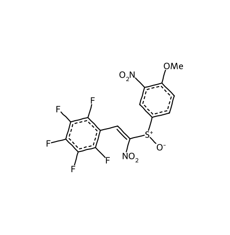 COc1ccc([S+]([O-])C(=Cc2c(F)c(F)c(F)c(F)c2F)[N+](=O)[O-])cc1[N+](=O)[O-]